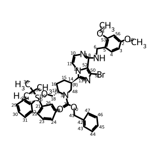 COc1ccc(CNc2nccn3c([C@@H]4CC[C@@H](CO[Si](c5ccccc5)(c5ccccc5)C(C)(C)C)N(C(=O)OCc5ccccc5)C4)nc(Br)c23)c(OC)c1